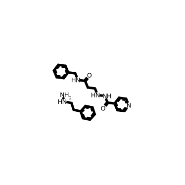 NNCCc1ccccc1.O=C(CCNNC(=O)c1ccncc1)NCc1ccccc1